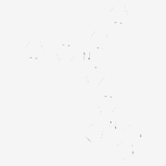 c1ccc(-c2ccc(N(c3ccc(-c4ccccc4)cc3)c3ccc(-c4ccc5c(c4)c4ccccc4n5-c4cccc5ccccc45)cc3)cc2)cc1